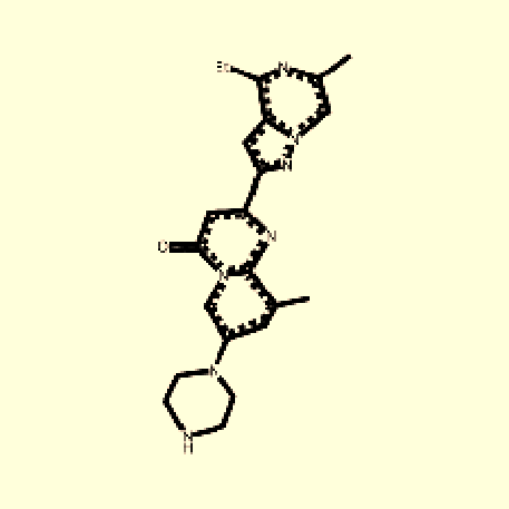 CCc1nc(C)cn2nc(-c3cc(=O)n4cc(N5CCNCC5)cc(C)c4n3)cc12